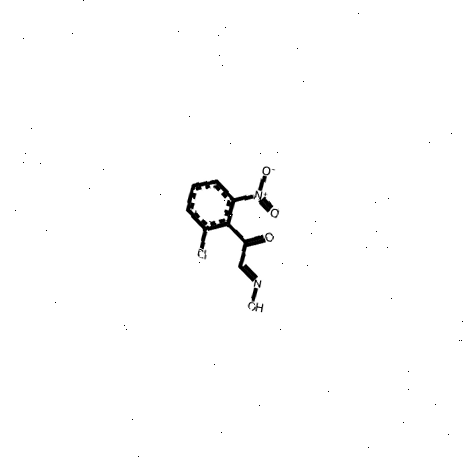 O=C(C=NO)c1c(Cl)cccc1[N+](=O)[O-]